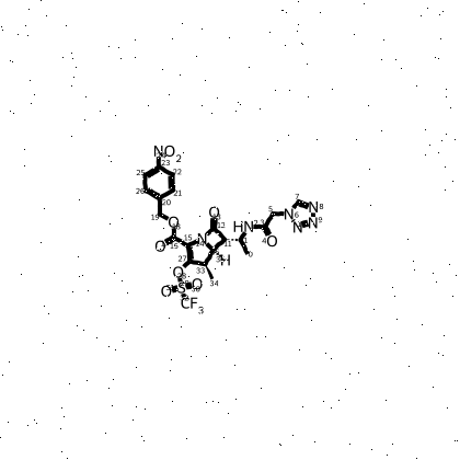 CC(NC(=O)Cn1cnnn1)[C@H]1C(=O)N2C(C(=O)OCc3ccc([N+](=O)[O-])cc3)=C(OS(=O)(=O)C(F)(F)F)[C@H](C)[C@H]12